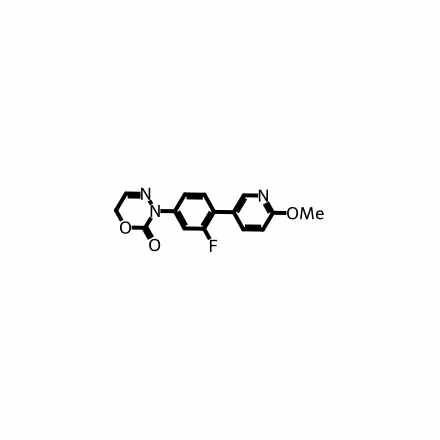 COc1ccc(-c2ccc(N3N=CCOC3=O)cc2F)cn1